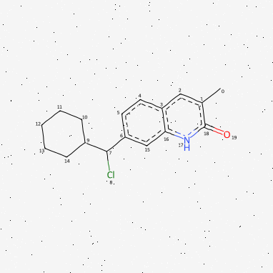 Cc1cc2ccc(C(Cl)C3CCCCC3)cc2[nH]c1=O